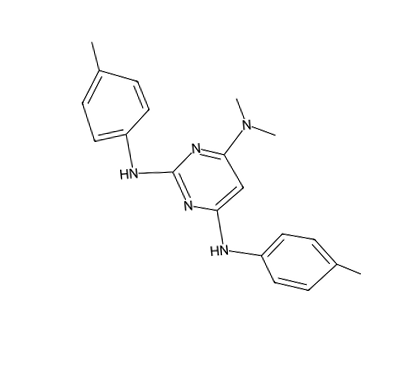 Cc1ccc(Nc2cc(N(C)C)nc(Nc3ccc(C)cc3)n2)cc1